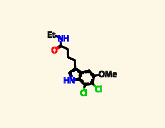 CCNC(=O)CCCc1c[nH]c2c(Cl)c(Cl)c(OC)cc12